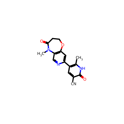 Cc1[nH]c(=O)c(C#N)cc1-c1cc2c(cn1)N(C)C(=O)CCO2